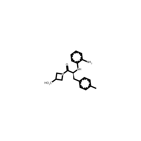 Cc1ccc(C[C@H](Nc2ccccc2N)C(=O)N2CC(C(=O)O)C2)cc1